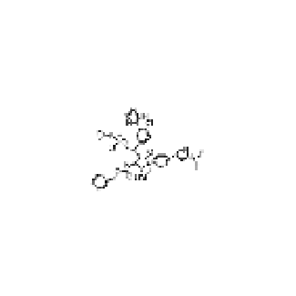 CC(C)(C)C[C@]1(c2ccc(-c3cnn(C(F)F)c3)cc2)NC(=NC(=O)OCc2ccccc2)N(C(COC(=O)NC2CC2)c2ccc(Cl)c(-c3ncn[nH]3)c2)C1=O